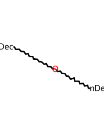 CCCCCCCCCCCCCCCCCCCCCCCCCCCCOCCCCCCCCCCCCCCCCCCCCCCCCC